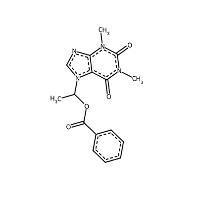 CC(OC(=O)c1ccccc1)n1cnc2c1c(=O)n(C)c(=O)n2C